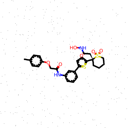 Cc1ccc(OCC(=O)Nc2cccc(-c3ccc([C@@]4(CC(=O)NO)CCCCS4(=O)=O)s3)c2)cc1